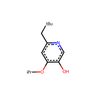 CC(C)Oc1cc(CC(C)(C)C)ncc1O